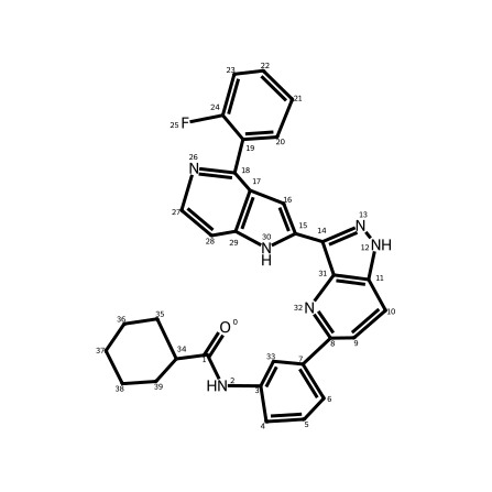 O=C(Nc1cccc(-c2ccc3[nH]nc(-c4cc5c(-c6ccccc6F)nccc5[nH]4)c3n2)c1)C1CCCCC1